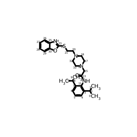 CC(C)c1cccc(C(C)C)c1NC(=O)CN1CCN(CCSc2nc3ccccc3o2)CC1